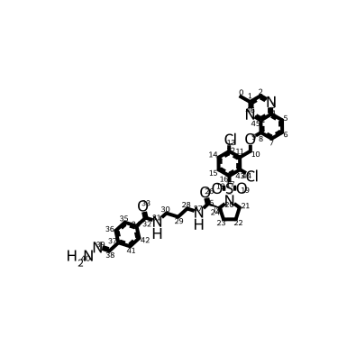 Cc1cnc2cccc(OCc3c(Cl)ccc(S(=O)(=O)N4CCC[C@H]4C(=O)NCCCNC(=O)c4ccc(C=NN)cc4)c3Cl)c2n1